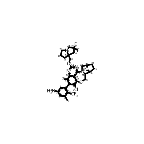 Cc1cc(N)cc(-c2c(Cl)c3c4c(nc(OCC56CCCN5CC(F)(F)C6)nc4c2F)N2CC4CCC(N4)C2CO3)c1C(F)(F)F